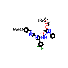 COc1ccc(Cn2cc(N3C[C@@H](NC(=O)Nc4c(C)c(OC[C@H](C)O[Si](C)(C)C(C)(C)C)nn4-c4ccccc4)[C@H](c4ccc(F)c(F)c4)C3)cn2)cc1